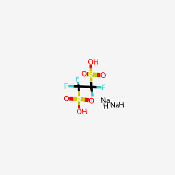 O=S(=O)(O)C(F)(F)C(F)(F)S(=O)(=O)O.[NaH].[NaH]